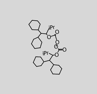 CC(C)C(OC(=O)OOC(=O)OC(C(C)C)C(C1CCCCC1)C1CCCCC1)C(C1CCCCC1)C1CCCCC1